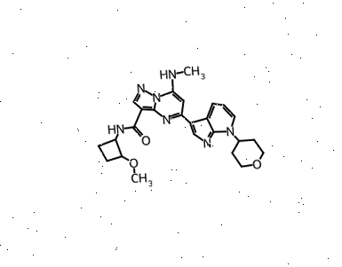 CNc1cc(-c2cnc3n(C4CCOCC4)cccc2-3)nc2c(C(=O)NC3CCC3OC)cnn12